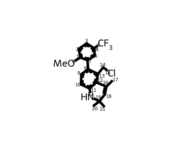 COc1ccc(C(F)(F)F)cc1-c1ccc2c(c1CCl)C(C)=CC(C)(C)N2